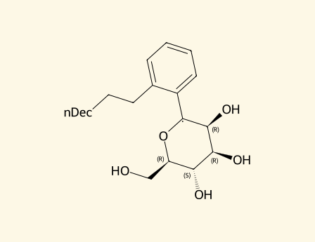 CCCCCCCCCCCCc1ccccc1[C]1O[C@H](CO)[C@@H](O)[C@H](O)[C@@H]1O